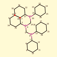 C1CCC(P(CP(C2CCCCC2)C2CCCCC2)CP(C2CCCCC2)C2CCCCC2)CC1